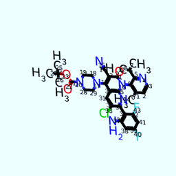 Cc1ccnc(C(C)C)c1-n1c(=O)c(C#N)c(N2CCN(C(=O)OC(C)(C)C)CC2)c2cc(Cl)c(-c3c(N)cc(F)cc3F)nc21